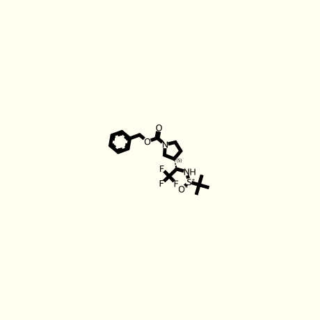 CC(C)(C)[S+]([O-])NC([C@H]1CCN(C(=O)OCc2ccccc2)C1)C(F)(F)F